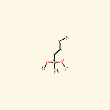 CCO[Si](C)(CC[CH2][Au])OCC